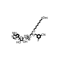 CCCCCCCCCCCCCCCCCCOC[C@H](COP(=O)(O)OC[C@H]1O[C@@](C)(c2ccc3c(N)ncnn23)[C@H](O)[C@@H]1O)OCc1cc(F)cc(C#N)c1